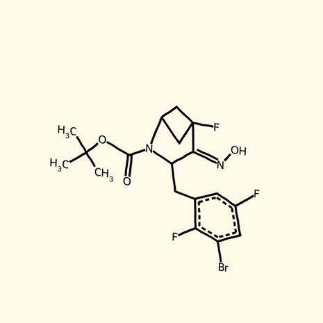 CC(C)(C)OC(=O)N1C2CC(F)(C2)C(=NO)C1Cc1cc(F)cc(Br)c1F